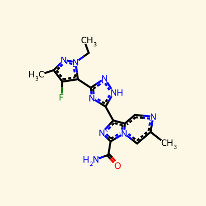 CCn1nc(C)c(F)c1-c1n[nH]c(-c2nc(C(N)=O)n3cc(C)ncc23)n1